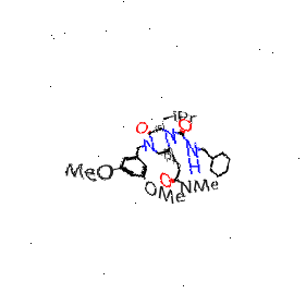 CNC(=O)C[C@H]1CN(Cc2cc(OC)cc(OC)c2)C(=O)[C@H](CC(C)C)N1C(=O)NCC1CCCCC1